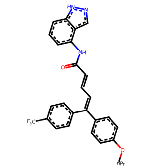 CCCOc1ccc(C(=CC=CC(=O)Nc2cccc3[nH]ncc23)c2ccc(C(F)(F)F)cc2)cc1